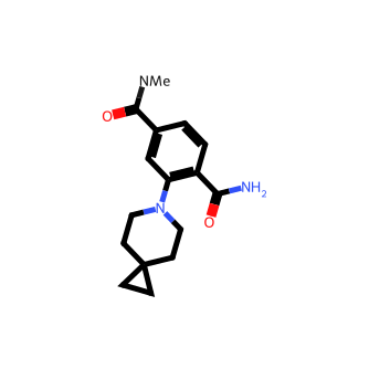 CNC(=O)c1ccc(C(N)=O)c(N2CCC3(CC2)CC3)c1